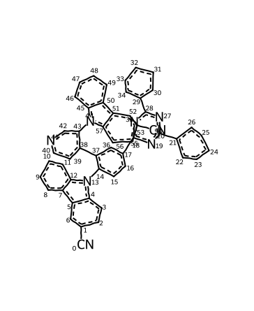 N#Cc1ccc2c(c1)c1ccccc1n2-c1ccc(-c2nc(-c3ccccc3)nc(-c3ccccc3)n2)cc1-c1ccncc1-n1c2ccccc2c2cc(C#N)ccc21